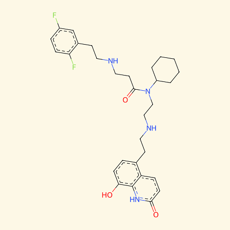 O=C(CCNCCc1cc(F)ccc1F)N(CCNCCc1ccc(O)c2[nH]c(=O)ccc12)C1CCCCC1